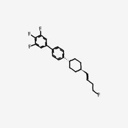 FCCC=C[C@H]1CC[C@H](c2ccc(-c3cc(F)c(F)c(F)c3)cc2)CC1